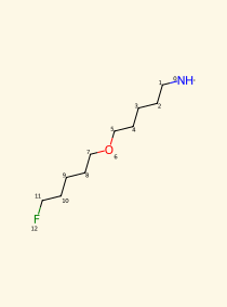 [NH]CCCCCOCCCCCF